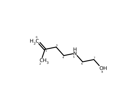 C=C(C)CCNCCO